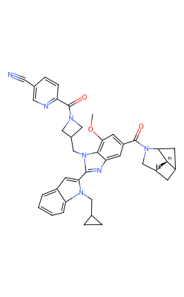 COc1cc(C(=O)N2CC3CC4CC2[C@H]43)cc2nc(-c3cc4ccccc4n3CC3CC3)n(CC3CN(C(=O)c4ccc(C#N)cn4)C3)c12